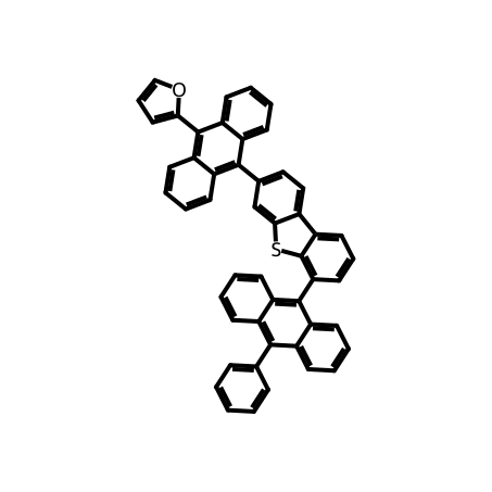 c1ccc(-c2c3ccccc3c(-c3cccc4c3sc3cc(-c5c6ccccc6c(-c6ccco6)c6ccccc56)ccc34)c3ccccc23)cc1